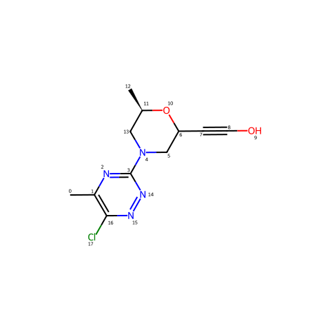 Cc1nc(N2CC(C#CO)O[C@H](C)C2)nnc1Cl